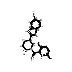 Cc1ccc(N)c(C(=O)N2CC(c3nc4ccc(F)cc4o3)CC[C@H]2C)n1